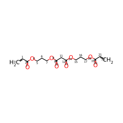 C=CC(=O)OCCCOC(=O)CC(=O)OCCCOC(=O)C=C